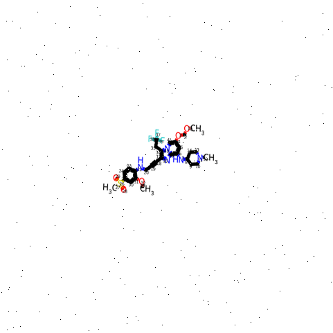 COCOc1cc(NC2CCN(C)CC2)c2nc(C#CCNc3ccc(S(C)(=O)=O)cc3OC)c(CC(F)(F)F)n2c1